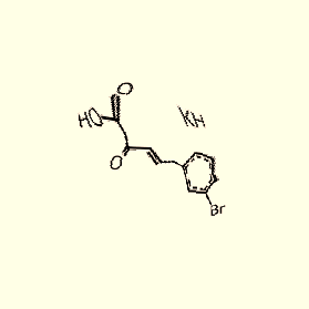 O=C(O)C(=O)/C=C/c1cccc(Br)c1.[KH]